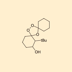 CC(C)(C)C1C(O)CCCC12OOC1(CCCCC1)O2